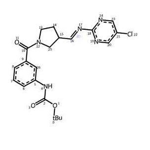 CC(C)(C)OC(=O)Nc1cccc(C(=O)N2CCC(/C=N/c3ncc(Cl)cn3)C2)c1